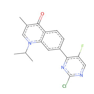 Cc1cn(C(C)C)c2cc(-c3nc(Cl)ncc3F)ccc2c1=O